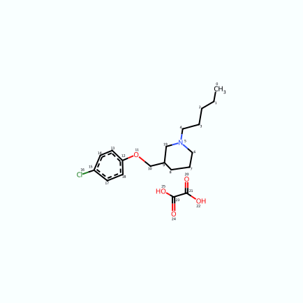 CCCCCN1CCCC(COc2ccc(Cl)cc2)C1.O=C(O)C(=O)O